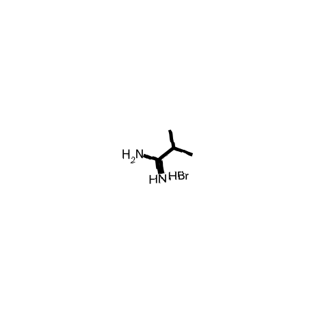 Br.CC(C)C(=N)N